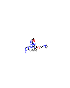 COc1cc2c(NCN3CCNCC3)nc(-c3ncc(C)o3)nc2cc1OCCCN1CCCC1